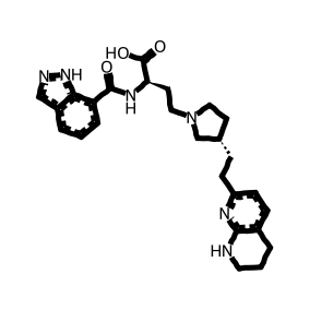 O=C(N[C@H](CCN1CC[C@H](CCc2ccc3c(n2)NCCC3)C1)C(=O)O)c1cccc2cn[nH]c12